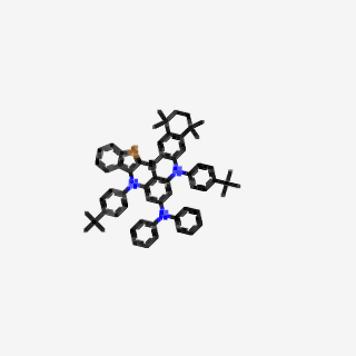 CC(C)(C)c1ccc(N2c3cc4c(cc3B3c5sc6ccccc6c5N(c5ccc(C(C)(C)C)cc5)c5cc(N(c6ccccc6)c6ccccc6)cc2c53)C(C)(C)CCC4(C)C)cc1